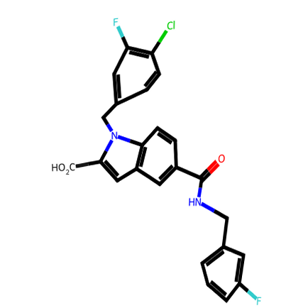 O=C(NCc1cccc(F)c1)c1ccc2c(c1)cc(C(=O)O)n2Cc1ccc(Cl)c(F)c1